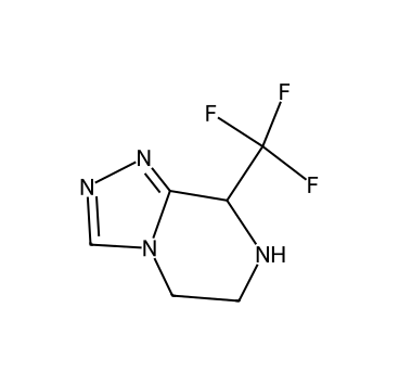 FC(F)(F)C1NCCn2cnnc21